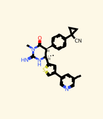 Cc1cncc(-c2csc([C@@]3(C)NC(=N)N(C)C(=O)[C@H]3c3ccc(C4(C#N)CC4)cc3)c2)c1